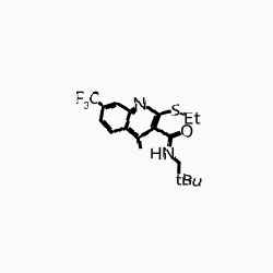 CCSc1nc2cc(C(F)(F)F)ccc2c(C)c1C(=O)NCC(C)(C)C